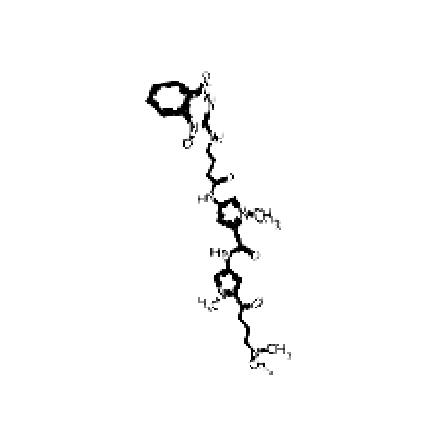 CN(C)CCCC(=O)c1cc(NC(=O)c2cc(NC(=O)CCCNc3n[n+]([O-])c4ccccc4[n+]3[O-])cn2C)cn1C